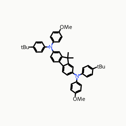 COc1ccc(N(c2ccc(C(C)(C)C)cc2)c2ccc3c(c2)C(C)(C)c2cc(N(c4ccc(OC)cc4)c4ccc(C(C)(C)C)cc4)ccc2-3)cc1